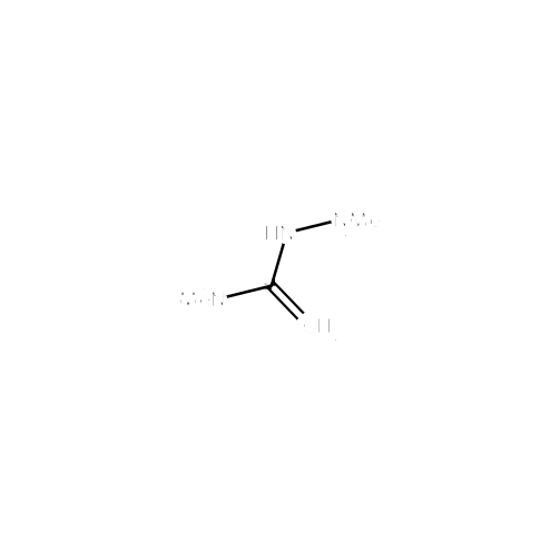 C=C(NC)NNC